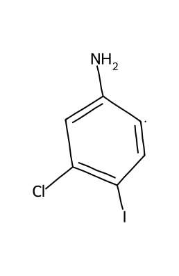 Nc1[c]cc(I)c(Cl)c1